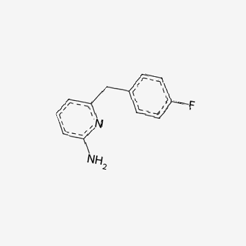 Nc1cccc(Cc2ccc(F)cc2)n1